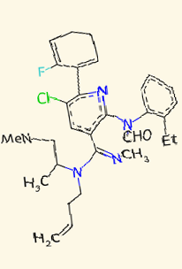 C=CCCN(/C(=N/C)c1cc(Cl)c(C2=CCCC=C2F)nc1N(C=O)c1ccccc1CC)C(C)CNC